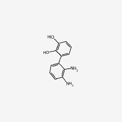 Nc1cccc(-c2cccc(O)c2O)c1N